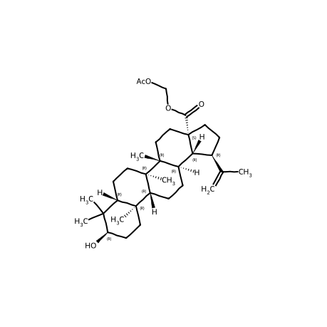 C=C(C)[C@@H]1CC[C@]2(C(=O)OCOC(C)=O)CC[C@]3(C)[C@H](CC[C@@H]4[C@@]5(C)CC[C@@H](O)C(C)(C)[C@@H]5CC[C@]43C)[C@@H]12